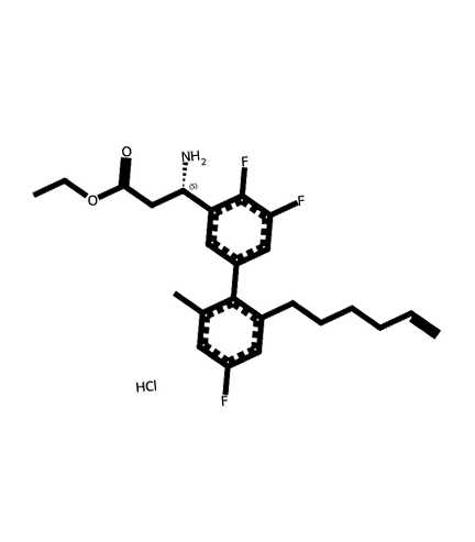 C=CCCCCc1cc(F)cc(C)c1-c1cc(F)c(F)c([C@@H](N)CC(=O)OCC)c1.Cl